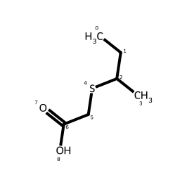 CCC(C)SCC(=O)O